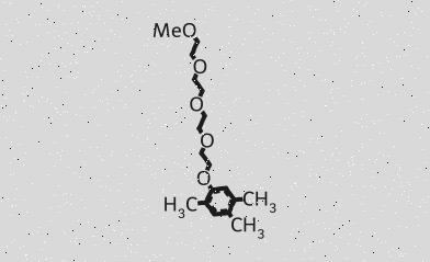 COCCOCCOCCOCCOc1cc(C)c(C)cc1C